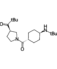 CC(C)(C)N[C@H]1CC[C@H](C(=O)N2CC[C@@H](C(=O)C(C)(C)C)C2)CC1